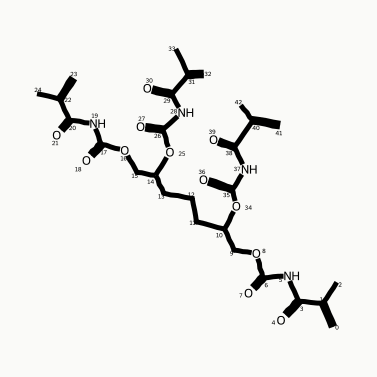 C=C(C)C(=O)NC(=O)OCC(CCCC(COC(=O)NC(=O)C(=C)C)OC(=O)NC(=O)C(=C)C)OC(=O)NC(=O)C(=C)C